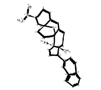 CC(C)N(C)[C@H]1CCC2=CC3=CC[C@]4(C)C(c5ccc6ccccc6c5)CC[C@H]4C34CC[C@]2(C1)O4